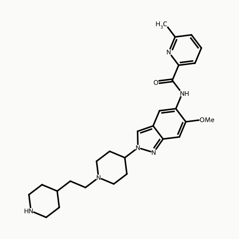 COc1cc2nn(C3CCN(CCC4CCNCC4)CC3)cc2cc1NC(=O)c1cccc(C)n1